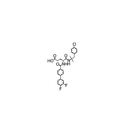 CC(C)(Cc1ccc(Cl)cc1)NC(=O)[C@H](CCC(=O)O)NC(=O)c1ccc(-c2ccc(F)c(F)c2)cc1